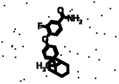 CC1(c2ccc(Oc3ccc(C(N)=O)cc3F)cc2)C2CCCC1CCC2